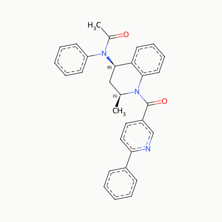 CC(=O)N(c1ccccc1)[C@@H]1C[C@H](C)N(C(=O)c2ccc(-c3ccccc3)nc2)c2ccccc21